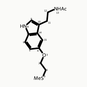 CSCCOc1ccc2[nH]cc(CCNC(C)=O)c2c1